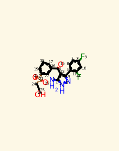 Nc1[nH]nc(-c2ccc(F)cc2F)c1C(=O)c1cccc(S(=O)(=O)CCO)c1